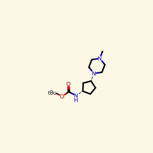 CN1CCN([C@@H]2CC[C@H](NC(=O)OC(C)(C)C)C2)CC1